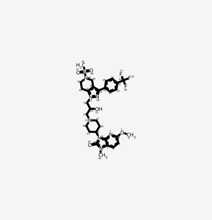 COc1ccc2c(n1)n(C1CCN(CC(O)Cn3nc(-c4ccc(C(F)(F)F)cc4)c4c3CCN(S(C)(=O)=O)C4)CC1)c(=O)n2C